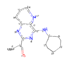 CC(C)(C)C(=O)c1nc(NC2CCCC2)c2ncccc2n1